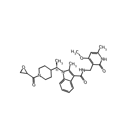 COc1cc(C)[nH]c(=O)c1CNC(=O)c1c(C)n([C@H](C)C2CCN(C(=O)C3CO3)CC2)c2ccccc12